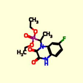 CCOP(=O)(OCC)C(C)n1c(=O)c(=O)[nH]c2ccc(F)cc21